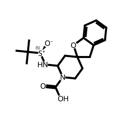 CC(C)(C)[S@@+]([O-])NC1CC2(CCN1C(=O)O)Cc1ccccc1O2